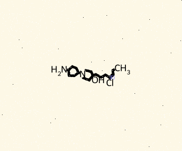 CC/C=C(/Cl)CCCC1(O)CCN(C2CCC(N)CC2)CC1